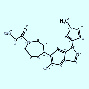 Cn1cc(-n2ncc3cc(Cl)c(C4CCCN(C(=O)OC(C)(C)C)CC4)cc32)cn1